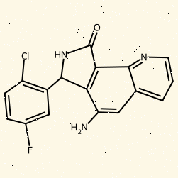 Nc1cc2cccnc2c2c1C(c1cc(F)ccc1Cl)NC2=O